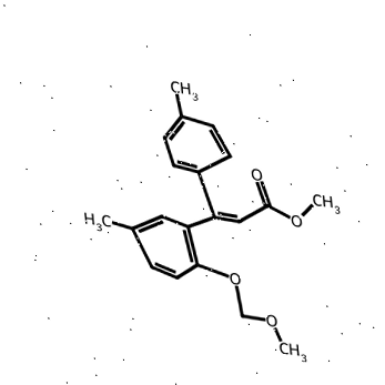 COCOc1ccc(C)cc1/C(=C/C(=O)OC)c1ccc(C)cc1